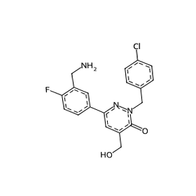 NCc1cc(-c2cc(CO)c(=O)n(Cc3ccc(Cl)cc3)n2)ccc1F